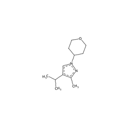 Cc1nn(C2CCOCC2)cc1C(C)C